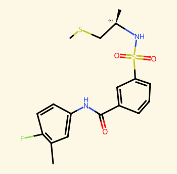 CSC[C@@H](C)NS(=O)(=O)c1cccc(C(=O)Nc2ccc(F)c(C)c2)c1